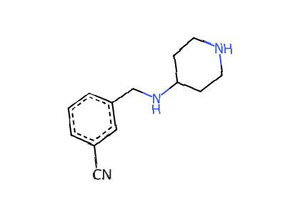 N#Cc1cccc(CNC2CCNCC2)c1